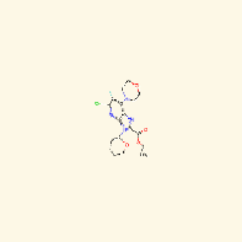 CCOC(=O)c1nc2c(N3CCOCC3)c(F)c(Cl)nc2n1C1CCCCO1